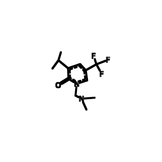 CC(C)c1cc(C(F)(F)F)cn(CN(C)C)c1=O